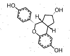 Oc1ccc([C@H]2Oc3ccc(O)cc3[C@H]3C[C@@H](O)C[C@H]32)cc1